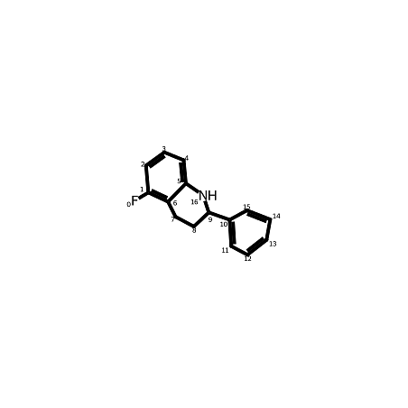 Fc1cccc2c1CCC(c1ccccc1)N2